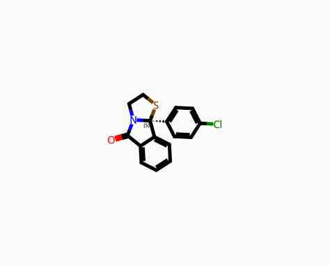 O=C1c2ccccc2[C@]2(c3ccc(Cl)cc3)SCCN12